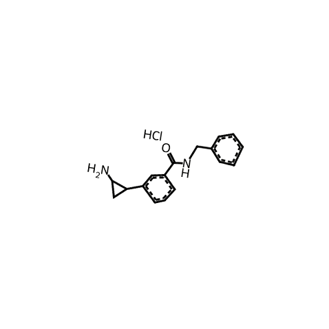 Cl.NC1CC1c1cccc(C(=O)NCc2ccccc2)c1